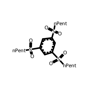 CCCCCS(=O)(=O)c1cc(S(=O)(=O)CCCCC)cc(S(=O)(=O)CCCCC)c1